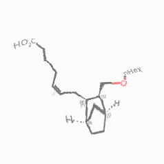 CCCCCCOC[C@H]1[C@H]2CC[C@H](C2)[C@H]1C/C=C\CCCC(=O)O